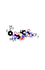 Cc1cc(NC(=O)c2c3c(cn2C)S(=O)(=O)N[C@@H]2CN(C(=O)C(=O)NCC(F)(F)F)CC[C@H]2CO3)ccc1F